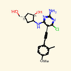 COc1ccc(C#Cc2c(Cl)nc(N)nc2NC2C[C@H](CO)C[C@H]2O)c(C)c1